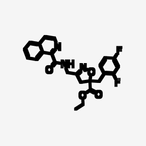 CCOC(=O)C1(Cc2ccc(F)cc2F)CC(CNC(=O)c2nccc3ccccc23)=NO1